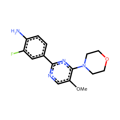 COc1cnc(-c2ccc(N)c(F)c2)nc1N1CCOCC1